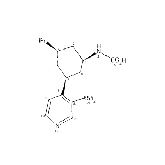 CC(C)[C@H]1C[C@@H](NC(=O)O)C[C@@H](c2ccncc2N)C1